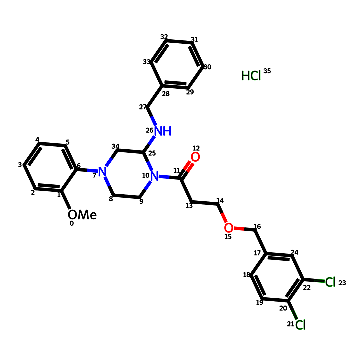 COc1ccccc1N1CCN(C(=O)CCOCc2ccc(Cl)c(Cl)c2)C(NCc2ccccc2)C1.Cl